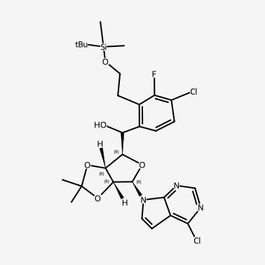 CC1(C)O[C@@H]2[C@H](O1)[C@@H](C(O)c1ccc(Cl)c(F)c1CCO[Si](C)(C)C(C)(C)C)O[C@H]2n1ccc2c(Cl)ncnc21